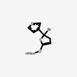 CCCCCCOC1=CCC(Br)(c2ccsc2)S1